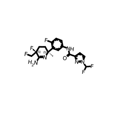 C[C@@]1(c2cc(NC(=O)c3ccn(C(F)F)n3)ccc2F)CC[C@@](F)(CF)C(N)=N1